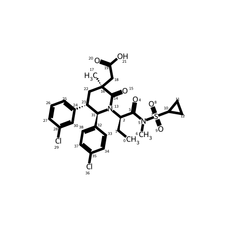 CC[C@H](C(=O)N(C)S(=O)(=O)C1CC1)N1C(=O)[C@](C)(CC(=O)O)C[C@@H](c2cccc(Cl)c2)[C@@H]1c1ccc(Cl)cc1